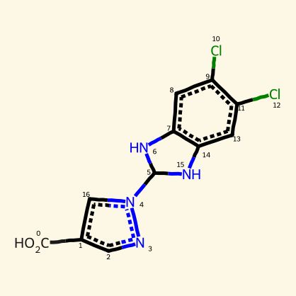 O=C(O)c1cnn(C2Nc3cc(Cl)c(Cl)cc3N2)c1